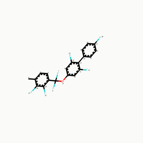 Cc1ccc(C(F)(F)Oc2cc(F)c(-c3ccc(F)cc3)c(F)c2)c(F)c1F